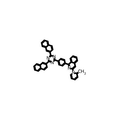 C=C1C=CC=CN1c1cc2ccccc2c(-c2ccc(-c3nc(-c4ccc5ccccc5c4)nc(-c4ccc5ccccc5c4)n3)cc2)n1